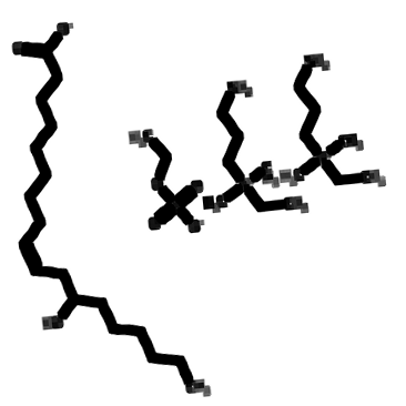 CCCCCCC(O)C/C=C\CCCCCCCC(=O)[O-].CCOS(=O)(=O)[O-].CC[N+](C)(C)CCCN.CC[N+](C)(C)CCCN